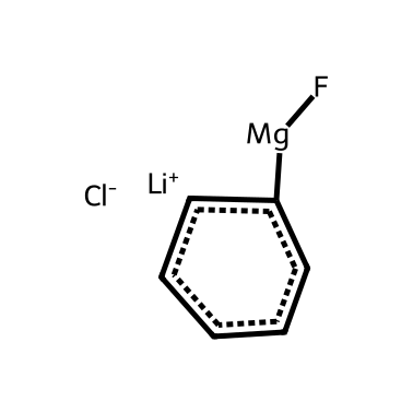 [Cl-].[F][Mg][c]1ccccc1.[Li+]